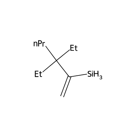 C=C([SiH3])C(CC)(CC)CCC